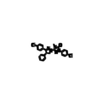 Cn1c(N2C[C@@H](c3ccccc3)C(c3ccc(Cl)cc3)=N2)nn(-c2ccc(Cl)cc2)c1=O